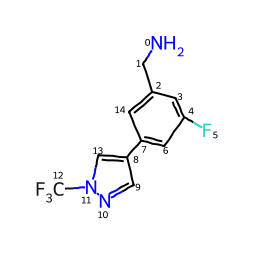 NCc1cc(F)cc(-c2cnn(C(F)(F)F)c2)c1